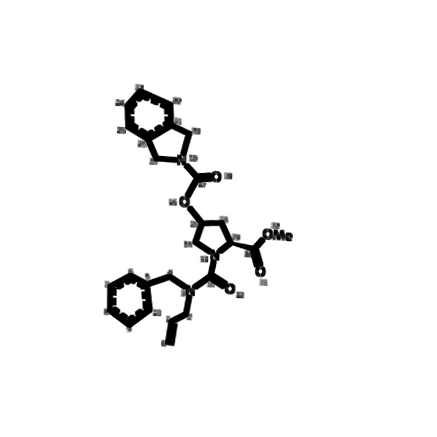 C=CCN(Cc1ccccc1)C(=O)N1CC(OC(=O)N2Cc3ccccc3C2)C[C@H]1C(=O)OC